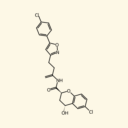 C=C(CCc1cc(-c2ccc(Cl)cc2)on1)NC(=O)[C@@H]1C[C@@H](O)c2cc(Cl)ccc2O1